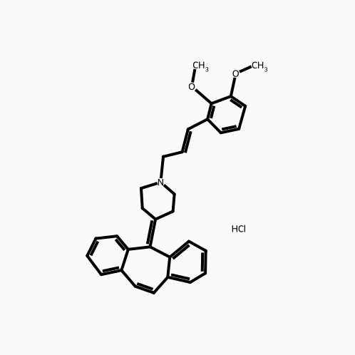 COc1cccc(/C=C/CN2CCC(=C3c4ccccc4C=Cc4ccccc43)CC2)c1OC.Cl